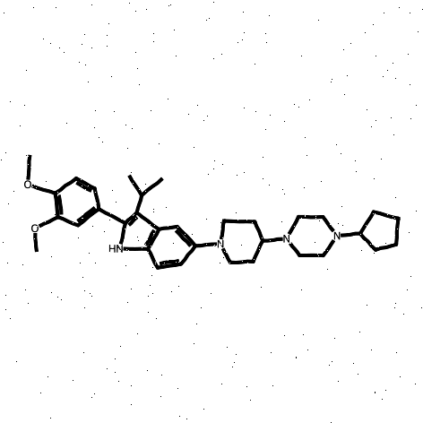 COc1ccc(-c2[nH]c3ccc(N4CCC(N5CCN(C6CCCC6)CC5)CC4)cc3c2C(C)C)cc1OC